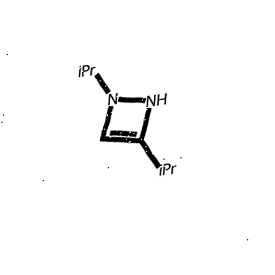 CC(C)c1cn(C(C)C)[nH]1